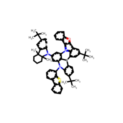 CC(C)(C)c1ccc2c(c1)N(c1cccc3c1sc1ccccc13)c1cc(N3c4ccc(C(C)(C)C)cc4C4(C)CCCCC34C)cc3c1B2c1cc(C(C)(C)C)cc2c4oc5ccccc5c4n-3c12